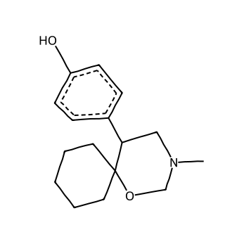 CN1COC2(CCCCC2)C(c2ccc(O)cc2)C1